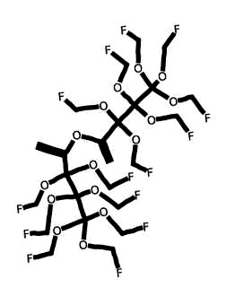 C=C(OC(=C)C(OCF)(OCF)C(OCF)(OCF)C(OCF)(OCF)OCF)C(OCF)(OCF)C(OCF)(OCF)C(OCF)(OCF)OCF